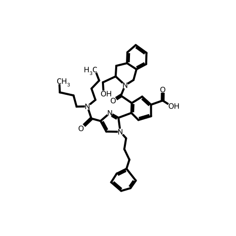 CCCCN(CCCC)C(=O)c1cn(CCCc2ccccc2)c(-c2ccc(C(=O)O)cc2C(=O)N2Cc3ccccc3CC2CO)n1